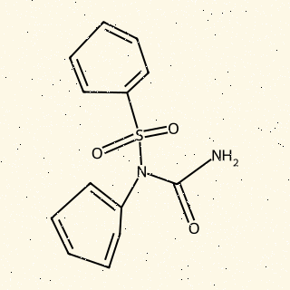 NC(=O)N(c1ccccc1)S(=O)(=O)c1ccccc1